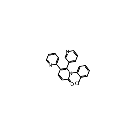 O=c1ccc(-c2ccccn2)c(-c2cccnc2)n1-c1ccccc1Cl